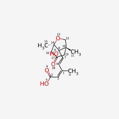 CC(=C/C(=O)O)/C=C/[C@]1(O)[C@]2(C)CO[C@]1(C)CC(=O)C2